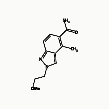 COCCn1cc2c(C)c(C(N)=O)ccc2n1